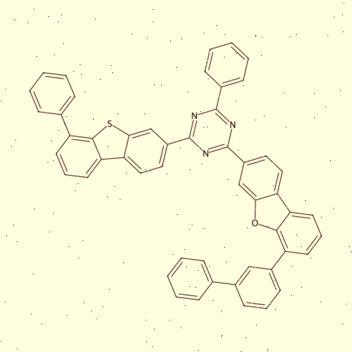 c1ccc(-c2cccc(-c3cccc4c3oc3cc(-c5nc(-c6ccccc6)nc(-c6ccc7c(c6)sc6c(-c8ccccc8)cccc67)n5)ccc34)c2)cc1